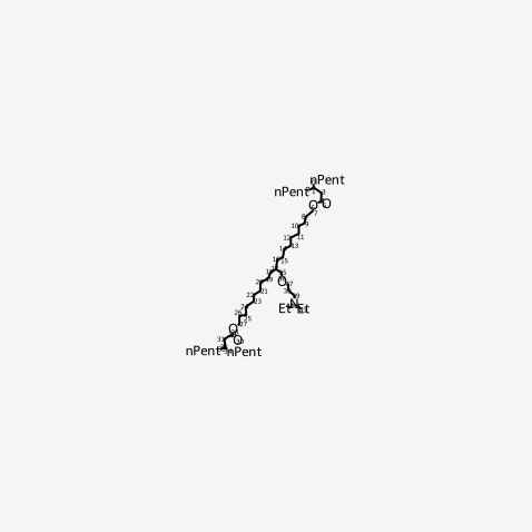 CCCCCC(CCCCC)CC(=O)OCCCCCCCCCCC(CCCCCCCCCCOC(=O)CC(CCCCC)CCCCC)COCCCN(CC)CC